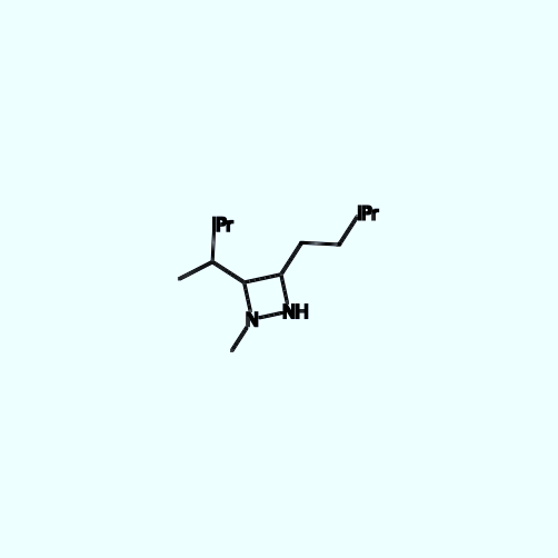 CC(C)CCC1NN(C)C1C(C)C(C)C